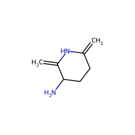 C=C1CCC(N)C(=C)N1